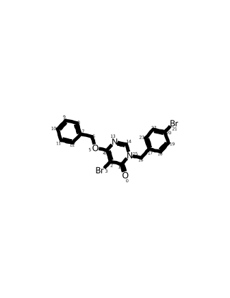 O=c1c(Br)c(OCc2ccccc2)ncn1Cc1ccc(Br)cc1